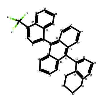 FC(F)(F)c1ccc(-c2c3ccccc3c(-c3cccc4c3CCCC4)c3ccccc23)c2ccccc12